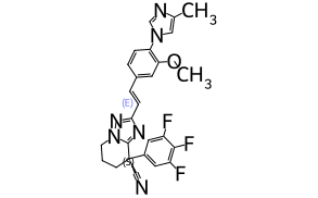 COc1cc(/C=C/c2nc3n(n2)CCC[C@@]3(C#N)c2cc(F)c(F)c(F)c2)ccc1-n1cnc(C)c1